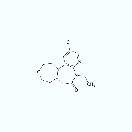 CCN1C(=O)CC2CCOCCN2c2cc(Cl)cnc21